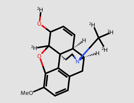 [2H]OC1C=C[C@H]2[C@H]3Cc4ccc(OC)c5c4[C@@]2(CCN3C([2H])([2H])[2H])C1([2H])O5